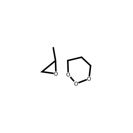 C1COOOC1.CC1CO1